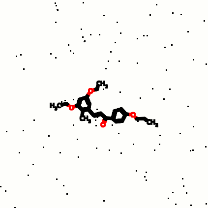 CCCOc1ccc(C(=O)/C=C/c2cc(OCC)cc(OCC)c2C)cc1